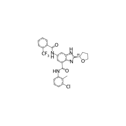 Cc1c(Cl)cccc1NC(=O)c1cc(NC(=O)c2ccccc2C(F)(F)F)cc2[nH]c([C@H]3CCCO3)nc12